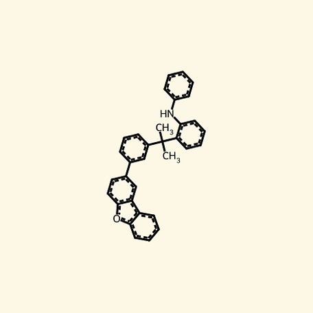 CC(C)(c1cccc(-c2ccc3oc4ccccc4c3c2)c1)c1ccccc1Nc1ccccc1